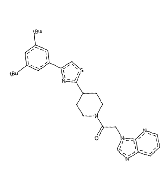 CC(C)(C)c1cc(-c2csc(C3CCN(C(=O)Cn4cnc5cccnc54)CC3)n2)cc(C(C)(C)C)c1